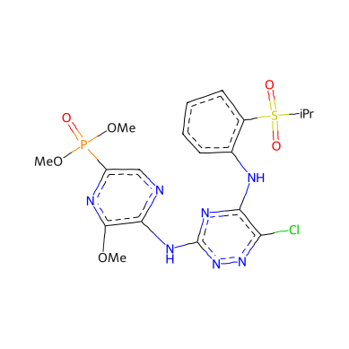 COc1nc(P(=O)(OC)OC)cnc1Nc1nnc(Cl)c(Nc2ccccc2S(=O)(=O)C(C)C)n1